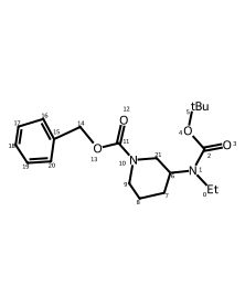 CCN(C(=O)OC(C)(C)C)C1CCCN(C(=O)OCc2ccccc2)C1